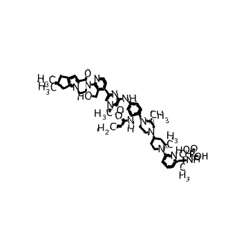 C=CC(=O)Nc1cc(Nc2nc(-c3ccnc(N4CCn5c(cc6c5CC(C)(C)C6)C4=O)c3CO)cn(C)c2=O)ccc1N1CCN(C2CCN(c3cccc(C(C)(C)NP(=O)(O)O)n3)[C@@H](C)C2)C[C@@H]1C